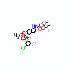 CC(C)(C)OC(=O)Nc1ccc2cc(N(P(C)(=O)O)S(=O)(=O)c3cc(Cl)cc(Cl)c3)ccc2c1